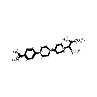 CCOC(=O)C(C)C(C(=O)O)N1CCC(N2CCN(c3ccc(C(=N)N)cc3)CC2)CC1